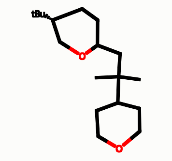 CC(C)(CC1CC[C@@H](C(C)(C)C)CO1)C1CCOCC1